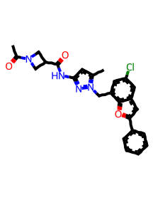 CC(=O)N1CC(C(=O)Nc2cc(C)n(Cc3cc(Cl)cc4cc(-c5ccccc5)oc34)n2)C1